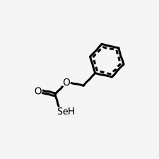 O=C([SeH])OCc1ccccc1